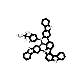 CC(C)(C)c1ccc(N2B3c4cc5oc6ccccc6c5cc4-n4c5ccc6oc7ccccc7c6c5c5ccc(c3c54)-c3cc4oc5ccccc5c4cc32)cc1